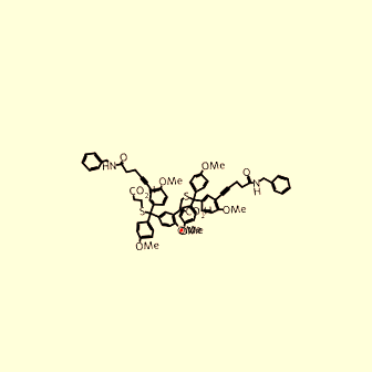 COc1ccc(C(SCCC(=O)O)(c2ccc(OC)c(C#CCCC(=O)NCc3ccccc3)c2)c2ccc(OC)c(C(CSC(c3ccc(OC)cc3)(c3ccc(OC)cc3)c3ccc(OC)c(C#CCCC(=O)NCc4ccccc4)c3)C(=O)O)c2)cc1